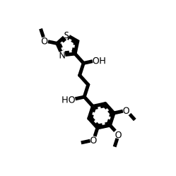 COc1nc(C(O)CCC(O)c2cc(OC)c(OC)c(OC)c2)cs1